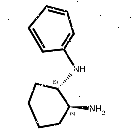 N[C@H]1CCCC[C@@H]1Nc1ccccc1